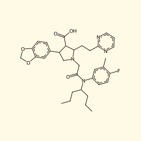 CCCC(CCC)N(C(=O)CN1CC(c2ccc3c(c2)OCO3)C(C(=O)O)C1CCc1ncccn1)c1ccc(F)c(C)c1